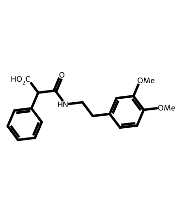 COc1ccc(CCNC(=O)C(C(=O)O)c2ccccc2)cc1OC